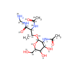 CC(=O)NC1C(O)C(O)[C@@H](CO)O[C@H]1O[C@H](C)C(NC(C)=O)C(=O)NCN